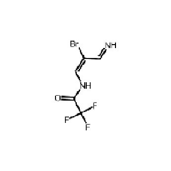 N=C/C(Br)=C\NC(=O)C(F)(F)F